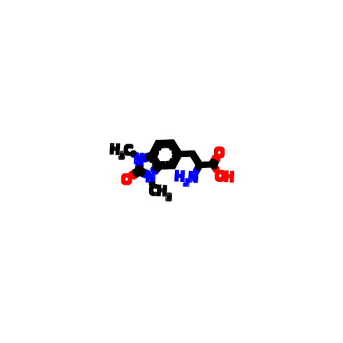 Cn1c(=O)n(C)c2cc(CC(N)C(=O)O)ccc21